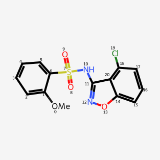 COc1ccccc1S(=O)(=O)Nc1noc2cccc(Cl)c12